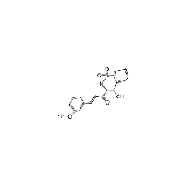 CCOc1cccc(/C=C/C(=O)C2=C(O)c3ccccc3S(=O)(=O)N2C)c1